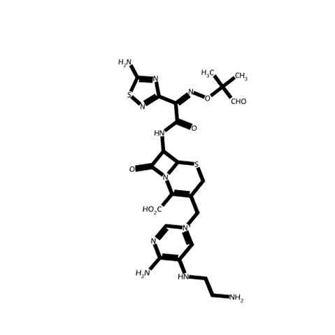 CC(C)(C=O)O/N=C(\C(=O)NC1C(=O)N2C(C(=O)O)=C(C[n+]3cnc(N)c(NCCN)c3)CSC12)c1nsc(N)n1